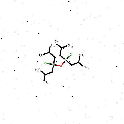 CC(C)C[Si](Cl)(CC(C)C)O[Si](Cl)(CC(C)C)CC(C)C